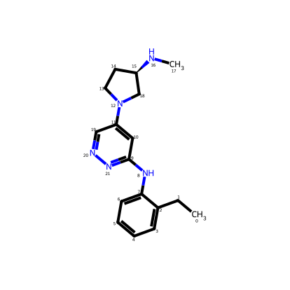 CCc1ccccc1Nc1cc(N2CC[C@@H](NC)C2)cnn1